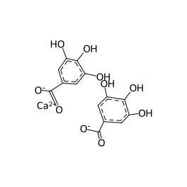 O=C([O-])c1cc(O)c(O)c(O)c1.O=C([O-])c1cc(O)c(O)c(O)c1.[Ca+2]